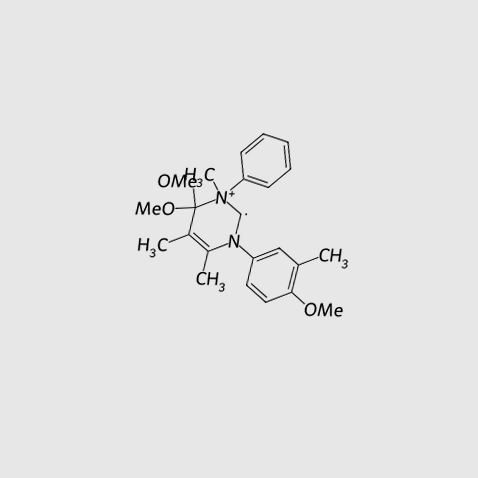 COc1ccc(N2[CH][N+](C)(c3ccccc3)C(OC)(OC)C(C)=C2C)cc1C